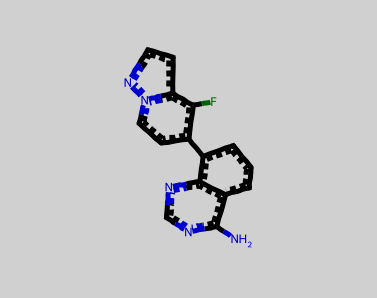 Nc1ncnc2c(-c3ccn4nccc4c3F)cccc12